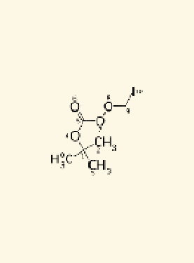 CC(C)(C)OC(=O)OOCI